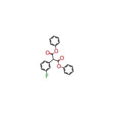 O=C(Oc1ccccc1)C(C(=O)Oc1ccccc1)c1cccc(F)c1